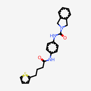 O=C(CCCc1cccs1)Nc1ccc(NC(=O)N2Cc3ccccc3C2)cc1